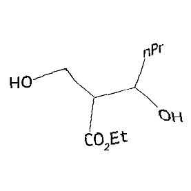 CCCC(O)C(CO)C(=O)OCC